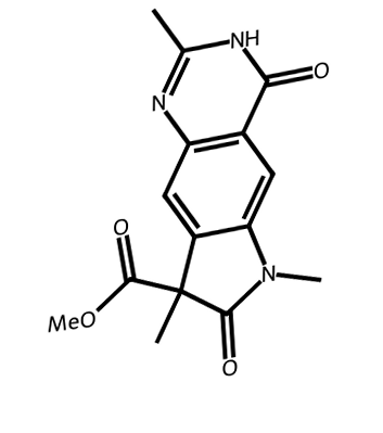 COC(=O)C1(C)C(=O)N(C)c2cc3c(=O)[nH]c(C)nc3cc21